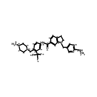 CNc1ncc(CN2CCc3ccc(C(=O)Nc4ccc(CN5CCN(C)CC5)c(C(F)(F)F)c4)cc32)cn1